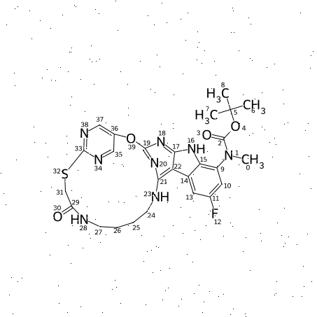 CN(C(=O)OC(C)(C)C)c1cc(F)cc2c1[nH]c1nc3nc(c12)NCCCCNC(=O)CSc1ncc(cn1)O3